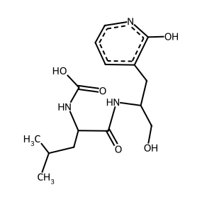 CC(C)CC(NC(=O)O)C(=O)NC(CO)Cc1cccnc1O